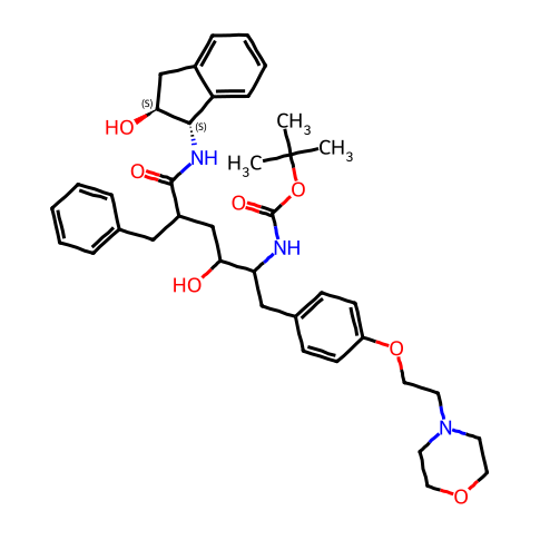 CC(C)(C)OC(=O)NC(Cc1ccc(OCCN2CCOCC2)cc1)C(O)CC(Cc1ccccc1)C(=O)N[C@H]1c2ccccc2C[C@@H]1O